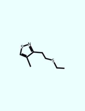 CCSCCc1nscc1C